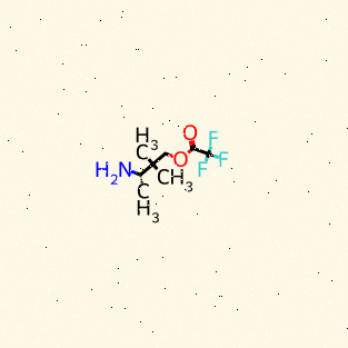 C[C@H](N)C(C)(C)COC(=O)C(F)(F)F